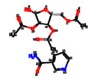 CC(=O)OC[C@H]1OC(O)[C@H](OC(C)=O)[C@@H]1OC(C)=O.NC(=O)c1cccnc1